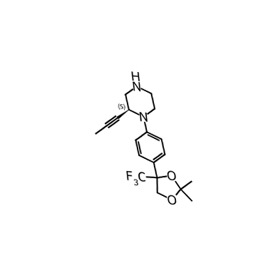 CC#C[C@H]1CNCCN1c1ccc(C2(C(F)(F)F)COC(C)(C)O2)cc1